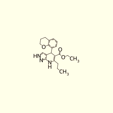 CCCC1=C(C(=O)OCC)C(c2cccc3c2OCCC3)c2c[nH]nc2N1